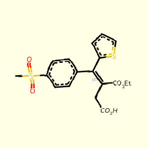 CCOC(=O)/C(CC(=O)O)=C(/c1ccc(S(C)(=O)=O)cc1)c1cccs1